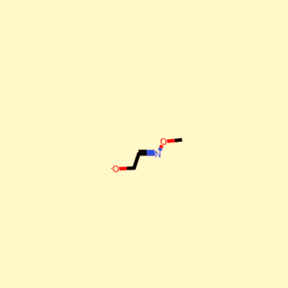 CO/N=C/C[O]